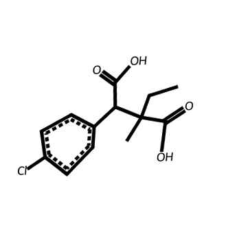 CCC(C)(C(=O)O)C(C(=O)O)c1ccc(Cl)cc1